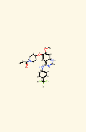 C=CC(=O)N1CCC(Oc2cc3c(Nc4ccc(C(F)(F)F)cc4)ncnc3cc2OC)CC1